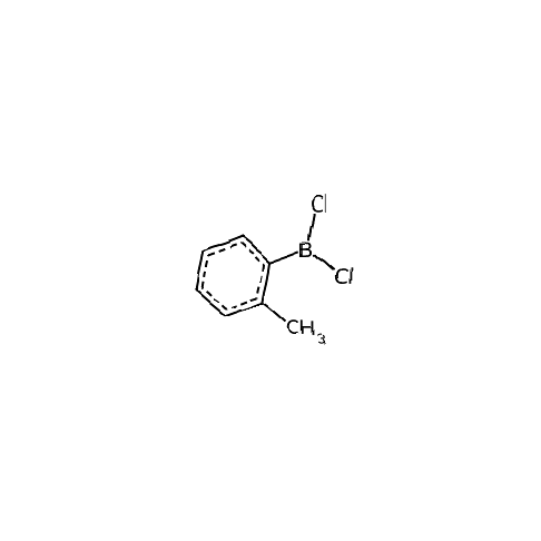 Cc1ccccc1B(Cl)Cl